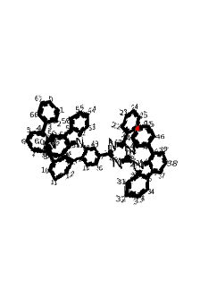 c1ccc(-c2cccc(-c3cccc(-c4ccc(-c5nc(-c6ccccc6)nc(-n6c7ccccc7c7cccc(-c8ccccc8)c76)n5)cc4-n4c5ccccc5c5ccccc54)c3)n2)cc1